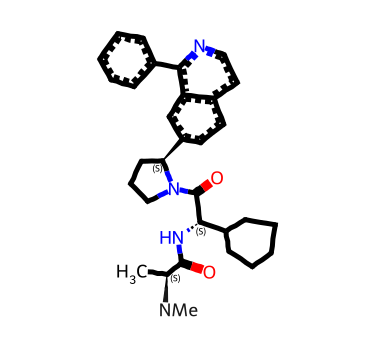 CN[C@@H](C)C(=O)N[C@H](C(=O)N1CCC[C@H]1c1ccc2ccnc(-c3ccccc3)c2c1)C1CCCCC1